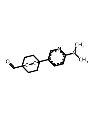 CN(C)c1ccc(C23CCC(C=O)(CC2)CC3)cn1